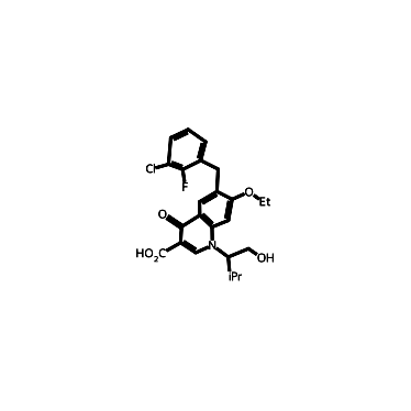 CCOc1cc2c(cc1Cc1cccc(Cl)c1F)c(=O)c(C(=O)O)cn2C(CO)C(C)C